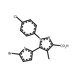 Cc1c(C(=O)O)nn(-c2ccc(Cl)cc2)c1-c1ccc(Br)s1